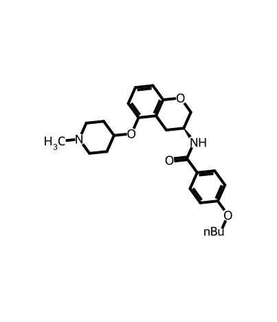 CCCCOc1ccc(C(=O)N[C@@H]2COc3cccc(OC4CCN(C)CC4)c3C2)cc1